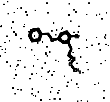 CON=CCc1cc(OCc2ccccc2)ccc1Br